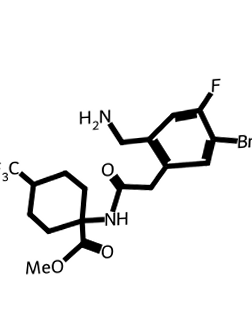 COC(=O)C1(NC(=O)Cc2cc(Br)c(F)cc2CN)CCC(C(F)(F)F)CC1